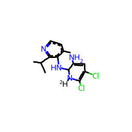 [2H]N1C(Cl)=C(Cl)C=C(N)C1Nc1c(C)ccnc1C(C)C